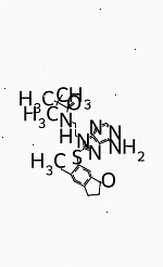 CCc1cc2c(cc1Sc1nc3c(N)ncnc3n1CCNC(=O)C(C)(C)C)C(=O)CC2